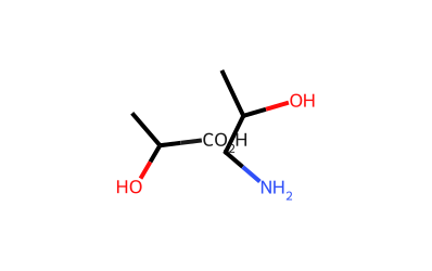 CC(O)C(=O)O.CC(O)CN